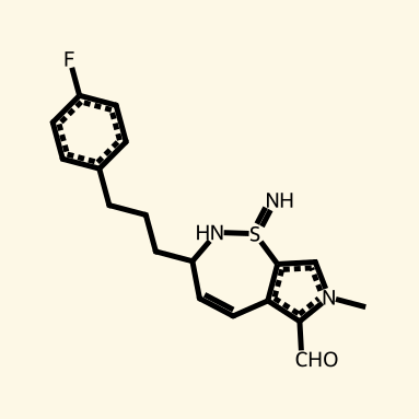 Cn1cc2c(c1C=O)C=CC(CCCc1ccc(F)cc1)NS2=N